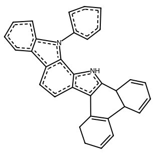 C1=CC2C3=C(CCC=C3)c3c([nH]c4c3ccc3c5ccccc5n(-c5ccccc5)c34)C2C=C1